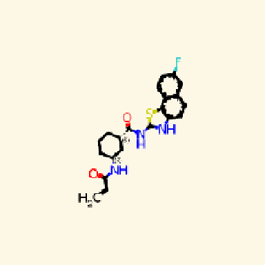 C=CC(=O)N[C@@H]1CCC[C@H](C(=O)NC2Nc3ccc4cc(F)ccc4c3S2)C1